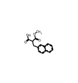 COC(=O)C(Cc1ccc2ccccc2c1)C(=O)O